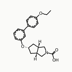 CCOc1ccc(-c2cccc(O[C@@H]3C[C@@H]4CN(C(=O)O)C[C@@H]4C3)c2)cc1